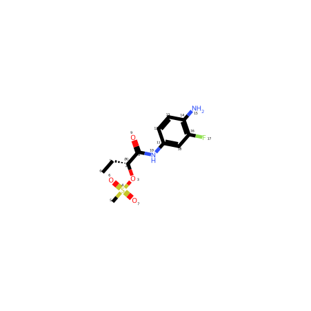 CC[C@@H](OS(C)(=O)=O)C(=O)Nc1ccc(N)c(F)c1